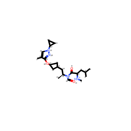 CNC(CC(C)C)C(=O)N(C=O)[C@@H](C)CC1CC(Oc2nn(C3CC3)cc2C)C1